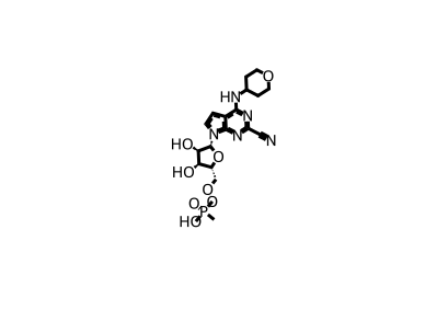 CP(=O)(O)OOC[C@H]1O[C@@H](n2ccc3c(NC4CCOCC4)nc(C#N)nc32)[C@H](O)[C@@H]1O